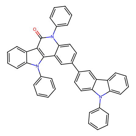 O=c1c2c3ccccc3n(-c3ccccc3)c2c2cc(-c3ccc4c(c3)c3ccccc3n4-c3ccccc3)ccc2n1-c1ccccc1